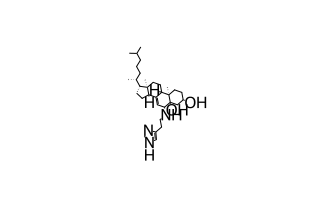 CC(C)CCC[C@@H](C)[C@H]1CC[C@H]2C3=C[C@@H](NCCc4c[nH]cn4)[C@@]4(O)C[C@@H](O)CC[C@]4(C)[C@H]3CC[C@]12C